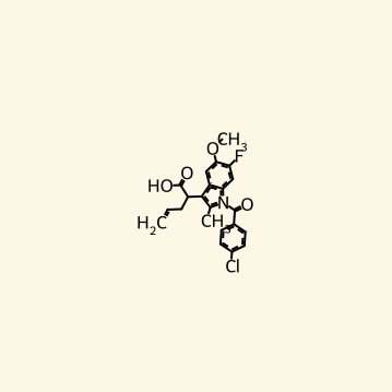 C=CCC(C(=O)O)c1c(C)n(C(=O)c2ccc(Cl)cc2)c2cc(F)c(OC)cc12